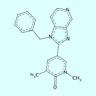 Cc1cc(-c2nc3cnccc3n2Cc2ccccc2)cn(C)c1=O